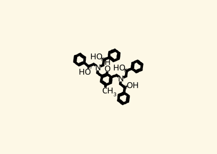 Cc1cc(CN(C[C@@H](O)c2ccccc2)C[C@@H](O)c2ccccc2)c(O)c(CN(C[C@@H](O)c2ccccc2)C[C@@H](O)c2ccccc2)c1